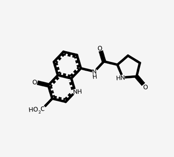 O=C1CCC(C(=O)Nc2cccc3c(=O)c(C(=O)O)c[nH]c23)N1